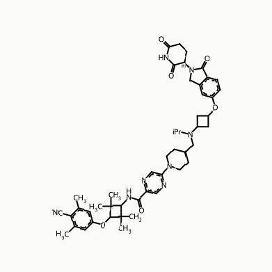 Cc1cc(OC2C(C)(C)C(NC(=O)c3cnc(N4CCC(CN(C(C)C)C5CC(Oc6ccc7c(c6)CN([C@@H]6CCC(=O)NC6=O)C7=O)C5)CC4)cn3)C2(C)C)cc(C)c1C#N